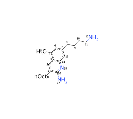 CCCCCCCCc1cc2c(C)cc(CCCCN)cc2nc1N